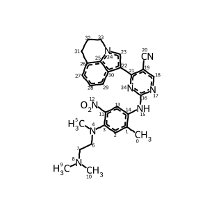 Cc1cc(N(C)CCN(C)C)c([N+](=O)[O-])cc1Nc1ncc(C#N)c(-c2cn3c4c(cccc24)CCC3)n1